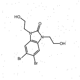 O=c1n(CCO)c2cc(Br)c(Br)cc2n1CCO